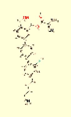 C=C(C)C(=O)OCc1cc(-c2ccc(-c3ccc(CCCCC)cc3F)cc2)ccc1CO